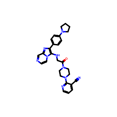 N#Cc1cccnc1N1CCN(C(=O)CNc2c(-c3ccc(N4CCCC4)cc3)nc3cnccn23)CC1